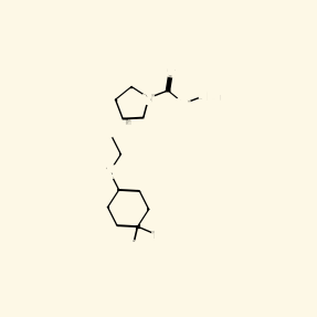 CC(C)(C)OC(=O)N1CC[C@@H](CCNC2CCC(F)(F)CC2)C1